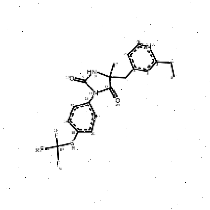 CCc1cc(CC2(C)NC(=O)N(c3ccc(SC(F)(F)F)cc3)C2=O)ccn1